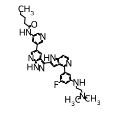 CCCCC(=O)Nc1cncc(-c2cnc3[nH]nc(-c4cc5c(-c6cc(F)cc(NCCN(C)C)c6)nccc5[nH]4)c3c2)c1